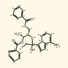 C[C@H](OC(=O)c1ccccc1)[C@@H](COC(=O)c1ccccc1)OC(O)(CF)c1ccc2c(N)ncnn12